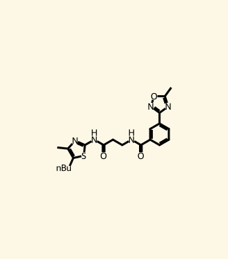 CCCCc1sc(NC(=O)CCNC(=O)c2cccc(-c3noc(C)n3)c2)nc1C